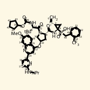 C=C[C@@H]1C[C@]1(NC(=O)[C@@H]1C[C@@H](Oc2cc(-c3csc(NC(C)C)n3)nc3cc(OC)ccc23)CN1C(=O)[C@@H](NC(=O)OC1CCCC1)C(C)(C)C)P(=O)(O)Cc1ccccc1C(F)(F)F